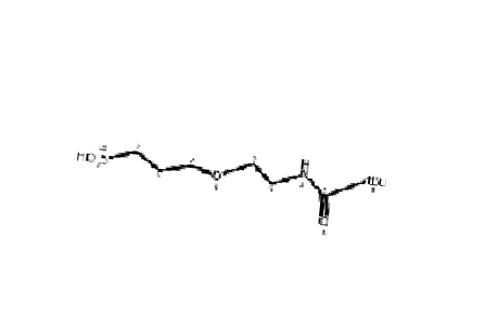 CC(C)(C)C(=O)NCCOCCCS(=O)(=O)O